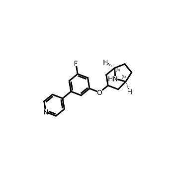 Fc1cc(OC2C[C@H]3CC[C@@H](C2)N3)cc(-c2ccncc2)c1